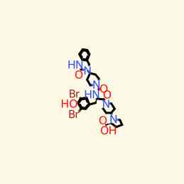 O=C(O)[C@@H]1CCCN1C1CCN(C(=O)[C@@H](Cc2cc(Br)c(O)c(Br)c2)NC(=O)N2CCC(N3Cc4ccccc4NC3=O)CC2)CC1